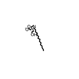 CCCCCCCCCCCCCCC1=NCC[N+]1(CCO)CC(=O)OC